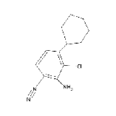 N#[N+]c1ccc(C2CCCCC2)c(Cl)c1N